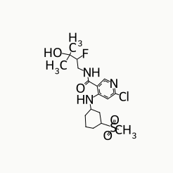 CC(C)(O)C(F)CNC(=O)c1cnc(Cl)cc1NC1CCCC(S(C)(=O)=O)C1